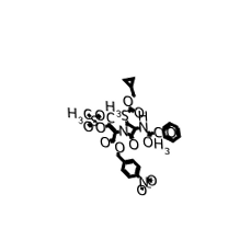 CC(=O)NC1C(=O)N(C(C(=O)OCc2ccc([N+](=O)[O-])cc2)=C(C)OS(C)(=O)=O)C1SC(=O)OCC1CC1.c1cc2cc(c1)O2